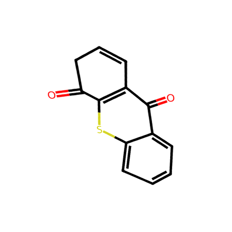 O=C1CC=Cc2c1sc1ccccc1c2=O